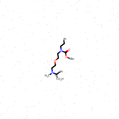 CC(C)CCN(CCOCCN(C)[C@H](C(=O)O)C(C)C)C(=O)OC(C)(C)C